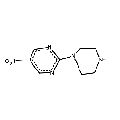 CN1CCN(c2ncc([N+](=O)[O-])cn2)CC1